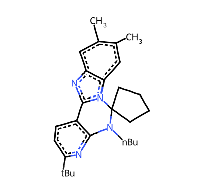 CCCCN1c2nc(C(C)(C)C)ccc2-c2nc3cc(C)c(C)cc3n2C12CCCC2